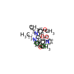 CCCCn1cc(C2(c3cn(CCCC)c4ccc(OC)cc34)OC(=O)c3c(N4CCCC4)c(Cl)c(Cl)c(Cl)c32)c2cc(OC)ccc21